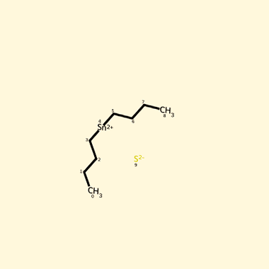 CCC[CH2][Sn+2][CH2]CCC.[S-2]